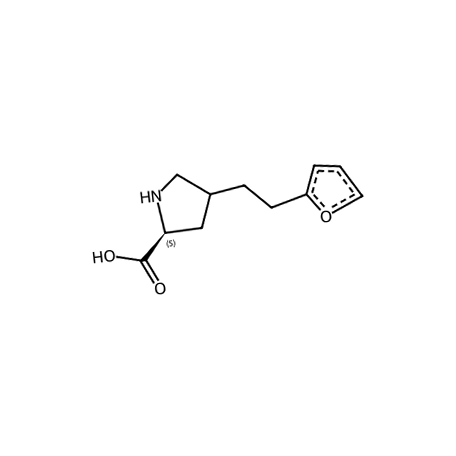 O=C(O)[C@@H]1CC(CCc2ccco2)CN1